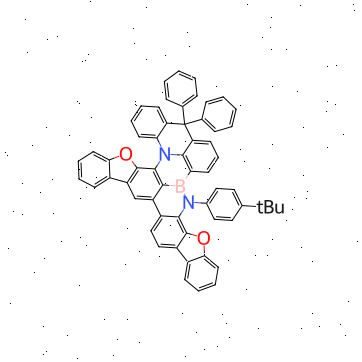 CC(C)(C)c1ccc(N2B3c4cccc5c4N(c4ccccc4C5(c4ccccc4)c4ccccc4)c4c3c(cc3c4oc4ccccc43)-c3ccc4c(oc5ccccc54)c32)cc1